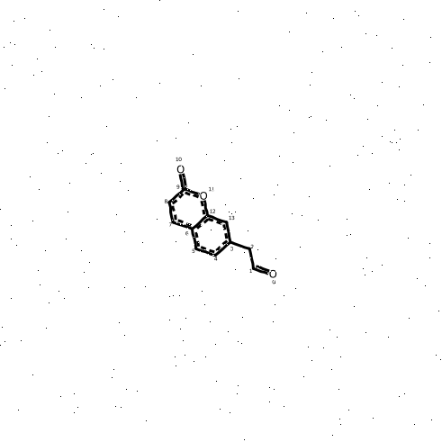 O=CCc1ccc2ccc(=O)oc2c1